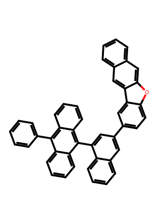 c1ccc(-c2c3ccccc3c(-c3cc(-c4ccc5oc6cc7ccccc7cc6c5c4)cc4ccccc34)c3ccccc23)cc1